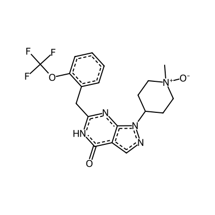 C[N+]1([O-])CCC(n2ncc3c(=O)[nH]c(Cc4ccccc4OC(F)(F)F)nc32)CC1